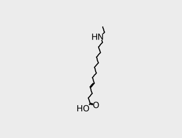 CCNCCCCCCCC/C=C/CCC(=O)O